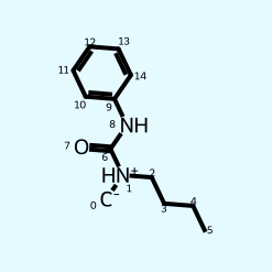 [CH2-][NH+](CCCC)C(=O)Nc1ccccc1